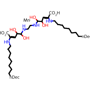 CCCCCCCCCCCCCCCCCCNC(=CC(O)C(O)NCCNC(O)C(O)C=C(NCCCCCCCCCCCCCCCCCC)C(=O)O)C(=O)O.[Mn]